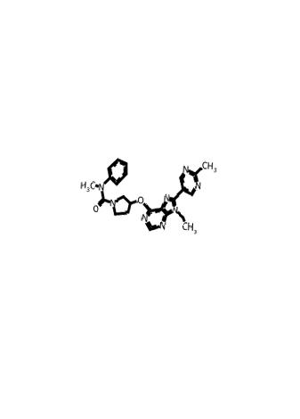 CCn1c(-c2cnc(C)nc2)nc2c(OC3CCN(C(=O)N(C)c4ccccc4)C3)ncnc21